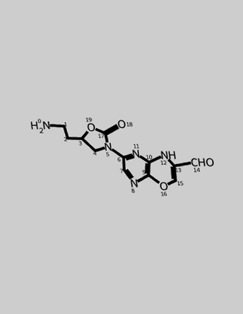 NCCC1CN(c2cnc3c(n2)NC(C=O)=CO3)C(=O)O1